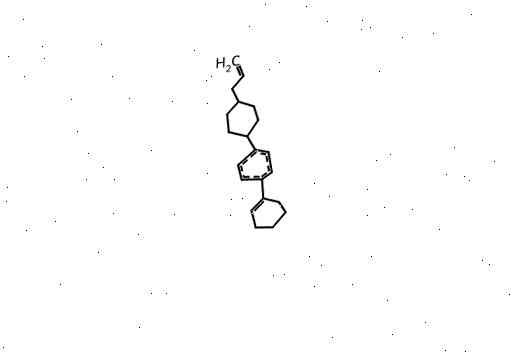 C=CCC1CCC(c2ccc(C3=CCCCC3)cc2)CC1